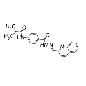 C=C(C)C(=O)Nc1ccc(C(=O)NN=Cc2ccc3ccccc3n2)cc1